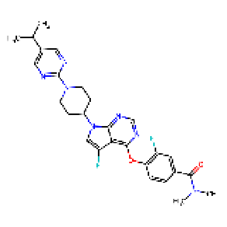 CC(C)c1cnc(N2CCC(n3cc(F)c4c(Oc5ccc(C(=O)N(C)C)cc5F)ncnc43)CC2)nc1